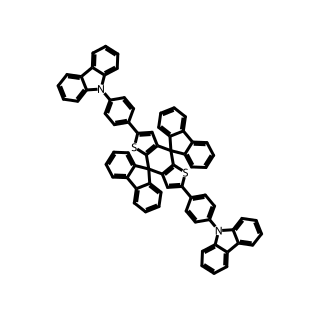 c1ccc2c(c1)-c1ccccc1C21c2cc(-c3ccc(-n4c5ccccc5c5ccccc54)cc3)sc2C2(c3ccccc3-c3ccccc32)c2cc(-c3ccc(-n4c5ccccc5c5ccccc54)cc3)sc21